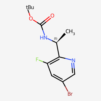 C[C@H](NC(=O)OC(C)(C)C)c1ncc(Br)cc1F